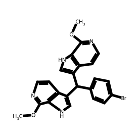 COc1nccc2c(C(c3ccc(Br)cc3)c3c[nH]c4c(OC)nccc34)c[nH]c12